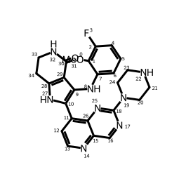 COc1c(F)cccc1Nc1c(-c2ccnc3cnc(N4CCNCC4)nc23)[nH]c2c1C(=O)NCC2